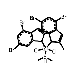 CC1=Cc2c(Br)cc(Br)cc2[CH]1[Zr]([Cl])([Cl])([CH]1C(C)=Cc2c(Br)cc(Br)cc21)[SiH](C)C